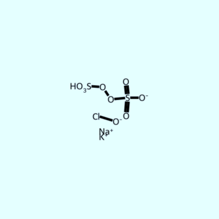 O=S(=O)([O-])OOS(=O)(=O)O.[K+].[Na+].[O-]Cl